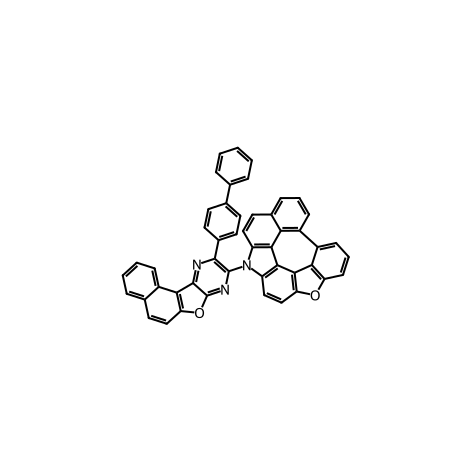 c1ccc(-c2ccc(-c3nc4c(nc3-n3c5ccc6cccc7c6c5c5c6c(ccc53)oc3cccc-7c36)oc3ccc5ccccc5c34)cc2)cc1